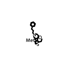 COC1CN(CCCc2ccccc2)CCC12OCCc1sccc12